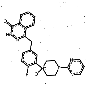 O=c1[nH]nc(Cc2ccc(F)c([N+]3([O-])CCP(c4ncccn4)CC3)c2)c2ccccc12